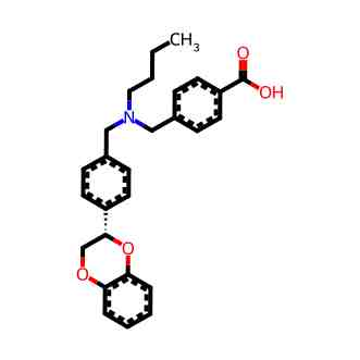 CCCCN(Cc1ccc(C(=O)O)cc1)Cc1ccc([C@H]2COc3ccccc3O2)cc1